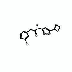 O=C(Cc1cccc(Cl)c1)Nc1cc(C2CCC2)[nH]n1